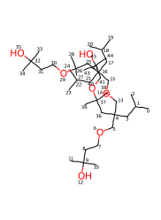 CC(C)CC(COCCC(C)(C)O)(COCC(CC(C)C)(CC(C)C)CC(C)(C)OCCC(C)(C)O)CC(C)(C)OCC(C)(C)O